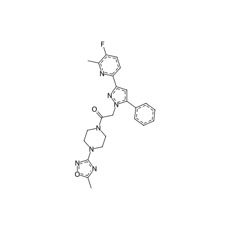 Cc1nc(N2CCN(C(=O)Cn3nc(-c4ccc(F)c(C)n4)cc3-c3ccccc3)CC2)no1